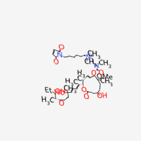 CCC(O)C(C)[C@H]1O[C@@H]1CC(C)(O)/C=C/C=C(\C)[C@H]1OC(=O)C[C@H](O)CC[C@@](C)(OC)[C@@H](OC(=O)N(C)CC[N+](C)(C)CCCCCCN2C(=O)C=CC2=O)/C=C/[C@@H]1C